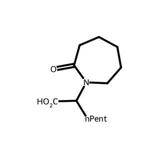 CCCCCC(C(=O)O)N1CCCCCC1=O